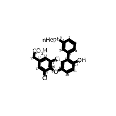 CCCCCCCc1cccc(-c2cc(Oc3c(Cl)cc(CC(=O)O)cc3Cl)ccc2O)c1